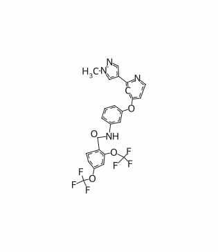 Cn1cc(-c2cc(Oc3cccc(NC(=O)c4ccc(OC(F)(F)F)cc4OC(F)(F)F)c3)ccn2)cn1